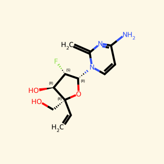 C=C[C@]1(CO)O[C@@H](N2C=CC(N)=NC2=C)[C@@H](F)[C@@H]1O